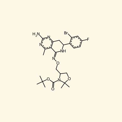 Cc1nc(N)nc2c1C(=NOCC1COC(C)(C)N1C(=O)OC(C)(C)C)NC(c1ccc(F)cc1Br)C2